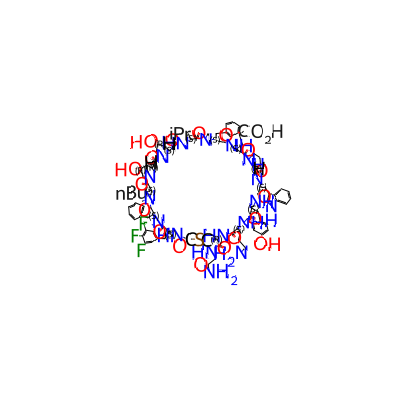 CCCC[C@H]1C(=O)N2C[C@H](O)C[C@@H]2C(=O)N2C[C@H](O)C[C@H]2C(=O)N[C@@H](C(C)C)C(=O)N(C)[C@@H](Cc2ccccc2)C(=O)N[C@@H](CCC(=O)O)C(=O)N2CCC[C@@H]2C(=O)N[C@@H](Cc2c[nH]c3ccccc23)C(=O)N[C@@H](Cc2ccc(O)cc2)C(=O)N[C@@H](CCCN)C(=O)N[C@H](C(=O)NCC(N)=O)CSCC(=O)N[C@@H](Cc2cc(F)c(F)c(F)c2)C(=O)N(C)[C@@H](Cc2ccccc2)C(=O)N1C